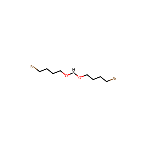 BrCCCCOBOCCCCBr